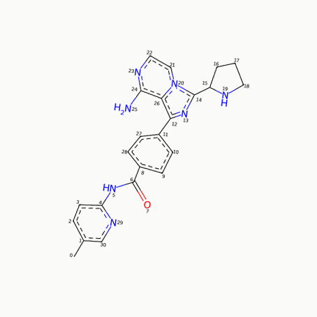 Cc1ccc(NC(=O)c2ccc(-c3nc(C4CCCN4)n4ccnc(N)c34)cc2)nc1